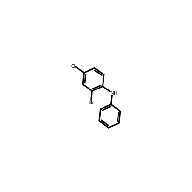 Clc1ccc(Nc2ccccc2)c(Br)c1